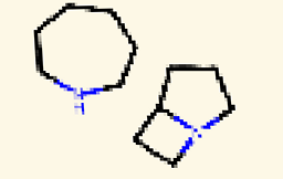 C1CC2CCN2C1.C1CCCNCC1